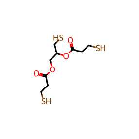 O=C(CCS)OCC(CS)OC(=O)CCS